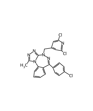 Cc1nnc2n1-c1ccccc1C(c1ccc(Cl)cc1)=NN2Cc1cc(Cl)nc(Cl)c1